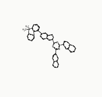 CC1(C)c2ccccc2-c2c(-c3ccc4cc(-c5nc(-c6ccc7ccccc7c6)nc(-c6ccc7ccccc7c6)n5)ccc4c3)cccc21